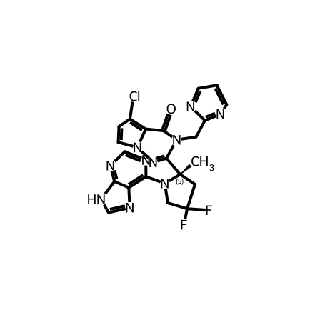 C[C@@]1(c2nn3ccc(Cl)c3c(=O)n2Cc2ncccn2)CC(F)(F)CN1c1ncnc2[nH]cnc12